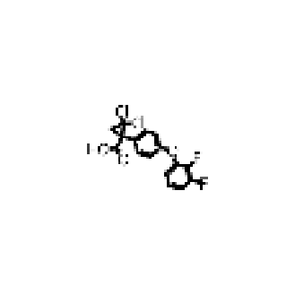 O=C(O)C1(c2ccc(Oc3cccc(F)c3F)cc2)CC1(Cl)Cl